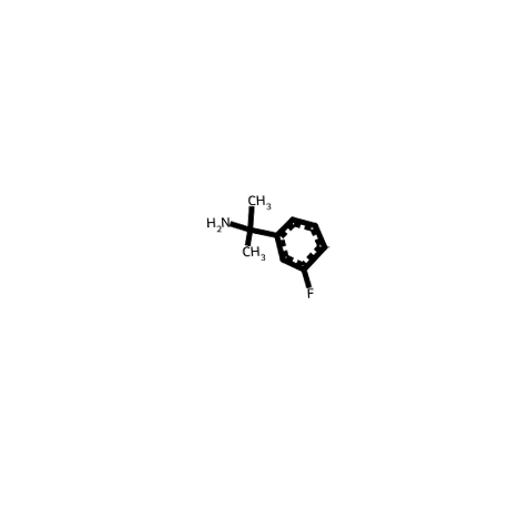 CC(C)(N)c1cc[c]c(F)c1